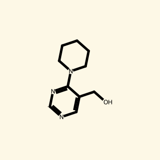 OCc1cn[c]nc1N1CCCCC1